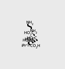 CC(=O)O.CC(=O)O.CC(=O)O.CC(=O)O.CC(C)[C@H](N)C(=O)O.NCCN